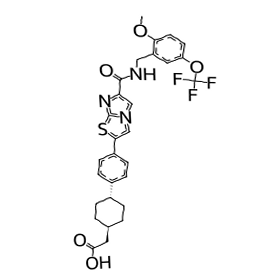 COc1ccc(OC(F)(F)F)cc1CNC(=O)c1cn2cc(-c3ccc([C@H]4CC[C@H](CC(=O)O)CC4)cc3)sc2n1